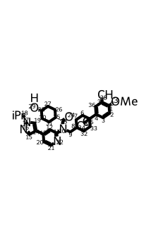 COc1ccc(C23CCC(CN(c4cc(-c5cnn(C(C)C)c5)ccn4)C(=O)[C@H]4CC[C@H](O)CC4)(CC2)CC3)cc1C